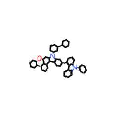 c1ccc(-c2cccc(-n3c4cc(-c5cccc6c5c5ccccc5n6-c5ccccc5)ccc4c4c5cccc6c5c(cc43)Oc3ccccc3-6)c2)cc1